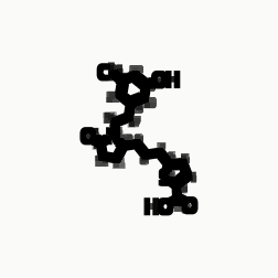 O=C(O)c1ccc(CCCC2CCC(=O)N2CCc2cc(O)cc(Cl)c2)s1